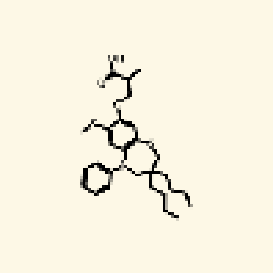 CCCCC1(CCCC)CSc2cc(OCC(C)C(=O)O)c(SC)cc2N(c2ccccc2)C1